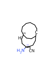 N#C/C1=C(\N)CC[C@H]2CCCCCCCC(CC1)CC2